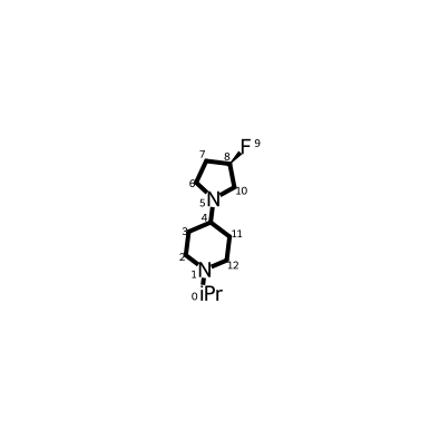 CC(C)N1CCC(N2CC[C@@H](F)C2)CC1